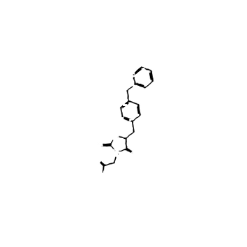 O=C(O)CN1C(=O)C(Cc2ccc(Cc3ccccc3)cc2)SC1=S